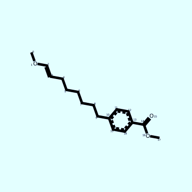 COC=CCCCCCCc1ccc(C(=O)OC)cc1